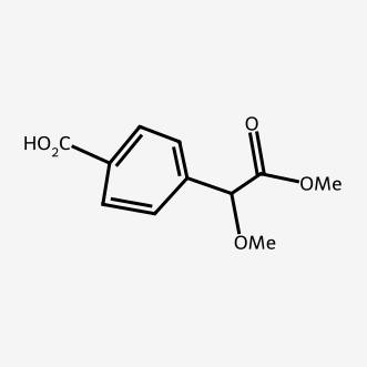 COC(=O)C(OC)c1ccc(C(=O)O)cc1